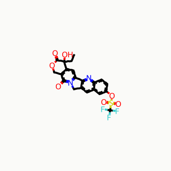 CCC1(O)C(=O)OCc2c1cc1n(c2=O)Cc2cc3cc(OS(=O)(=O)C(F)(F)F)ccc3nc2-1